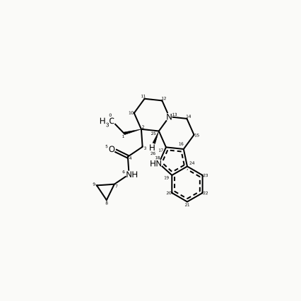 CC[C@@]1(CC(=O)NC2CC2)CCCN2CCc3c([nH]c4ccccc34)[C@@H]21